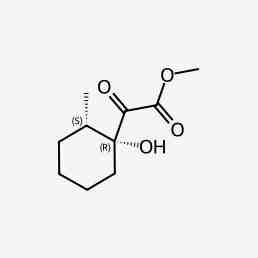 COC(=O)C(=O)[C@@]1(O)CCCC[C@@H]1C